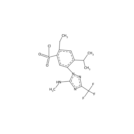 CCc1cc(C(C)C)c(-n2nc(C(F)(F)F)nc2NC)cc1S(=O)(=O)Cl